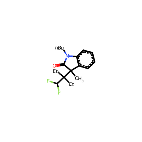 CCCCN1C(=O)C(C)(C(CC)(CC)[C](F)F)c2ccccc21